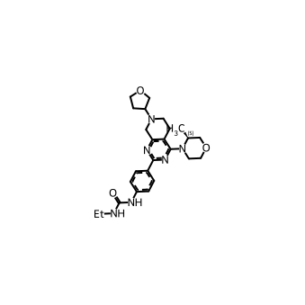 CCNC(=O)Nc1ccc(-c2nc3c(c(N4CCOC[C@@H]4C)n2)CCN(C2CCOC2)C3)cc1